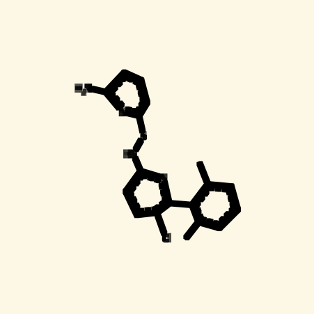 Cc1cccc(C)c1-c1nc(NSc2cccc(N)n2)ccc1Cl